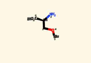 CCOC(=O)[C@@H](N)COC(C)(C)C